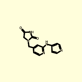 O=C1CN(Cc2ccnc(Nc3ccncc3)c2)C(=O)N1